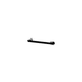 COCC(O)CNCCCCCCCCCCCCCCCCCCCCCCCCCC(=O)ON1OC=CO1